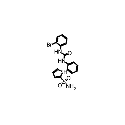 NS(=O)(=O)C1=CC=C[SH]1c1ccccc1NC(=O)Nc1ccccc1Br